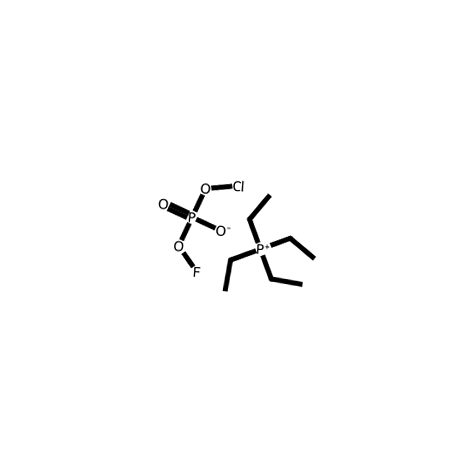 CC[P+](CC)(CC)CC.O=P([O-])(OF)OCl